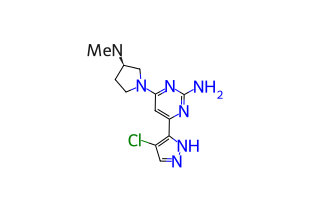 CN[C@@H]1CCN(c2cc(-c3[nH]ncc3Cl)nc(N)n2)C1